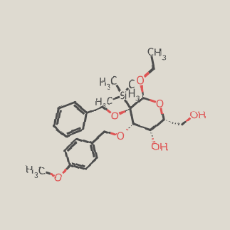 CCO[C@H]1O[C@H](CO)[C@H](O)[C@H](OCc2ccc(OC)cc2)[C@]1(OCc1ccccc1)[Si](C)(C)C